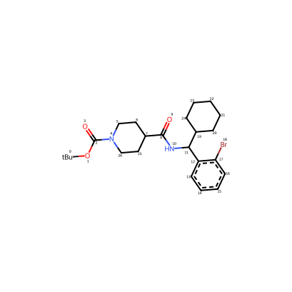 CC(C)(C)OC(=O)N1CCC(C(=O)NC(c2ccccc2Br)C2CCCCC2)CC1